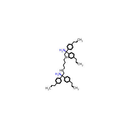 C=CCc1ccc(C(N)(CBCCCCBCC(N)(c2ccc(CC=C)cc2)c2ccc(CC=C)cc2)c2ccc(CC=C)cc2)cc1